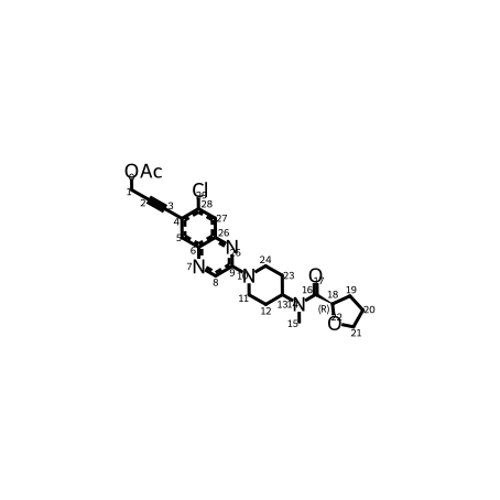 CC(=O)OCC#Cc1cc2ncc(N3CCC(N(C)C(=O)[C@H]4CCCO4)CC3)nc2cc1Cl